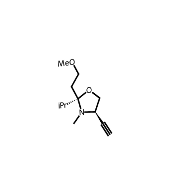 C#C[C@@H]1CO[C@@](CCOC)(C(C)C)N1C